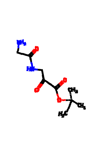 CC(C)(C)OC(=O)C(=O)CNC(=O)CN